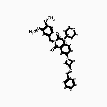 COc1ccc(Cn2c(=O)c3cc(N4CC(OCc5ccccc5)C4)ccc3n(C3CCOCC3)c2=O)cc1OC